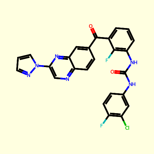 O=C(Nc1ccc(F)c(Cl)c1)Nc1cccc(C(=O)c2ccc3ncc(-n4cccn4)nc3c2)c1F